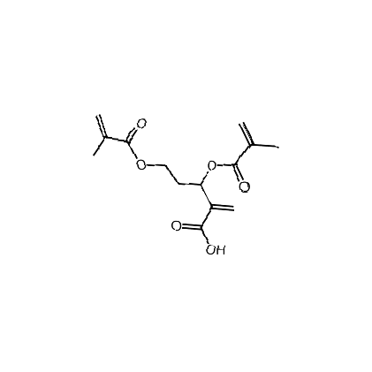 C=C(C)C(=O)OCCC(OC(=O)C(=C)C)C(=C)C(=O)O